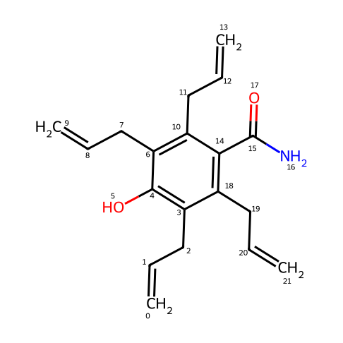 C=CCc1c(O)c(CC=C)c(CC=C)c(C(N)=O)c1CC=C